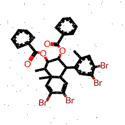 Cc1cc(Br)c(Br)cc1C1C(OC(=O)c2ccccc2)C(OC(=O)c2ccccc2)C(C)C2(C)C=C(Br)C(Br)=CC12